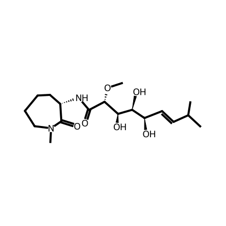 CO[C@@H](C(=O)N[C@H]1CCCCN(C)C1=O)[C@H](O)[C@@H](O)[C@H](O)/C=C/C(C)C